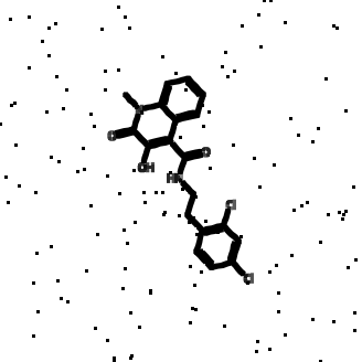 Cn1c(=O)c(O)c(C(=O)NCCc2ccc(Cl)cc2Cl)c2ccccc21